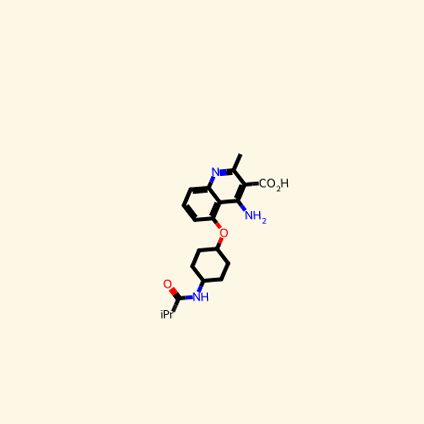 Cc1nc2cccc(OC3CCC(NC(=O)C(C)C)CC3)c2c(N)c1C(=O)O